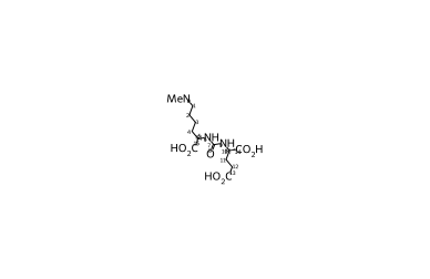 CNCCCC[C@@H](NC(=O)N[C@H](CCC(=O)O)C(=O)O)C(=O)O